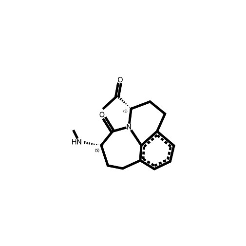 CN[C@H]1CCc2cccc3c2N(C1=O)[C@H](C(C)=O)CC3